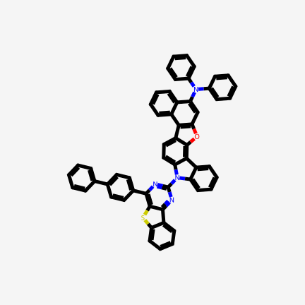 c1ccc(-c2ccc(-c3nc(-n4c5ccccc5c5c6oc7cc(N(c8ccccc8)c8ccccc8)c8ccccc8c7c6ccc54)nc4c3sc3ccccc34)cc2)cc1